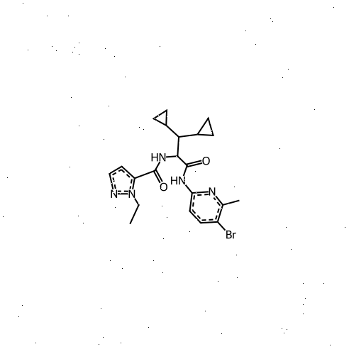 CCn1nccc1C(=O)NC(C(=O)Nc1ccc(Br)c(C)n1)C(C1CC1)C1CC1